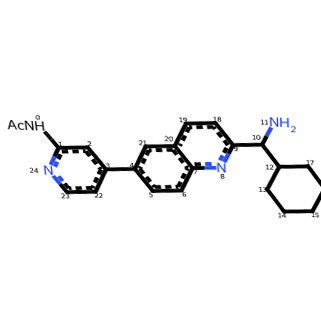 CC(=O)Nc1cc(-c2ccc3nc(C(N)C4CCCCC4)ccc3c2)ccn1